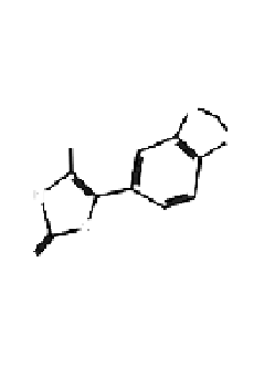 CCCc1[nH]c(=S)[nH]c1-c1ccc2c(c1)OCO2